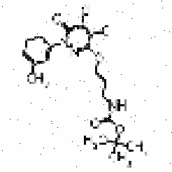 CC1=CCCC(n2nc(OCCCNC(=O)OC(C)(C)C)c(Cl)c(Cl)c2=O)=C1